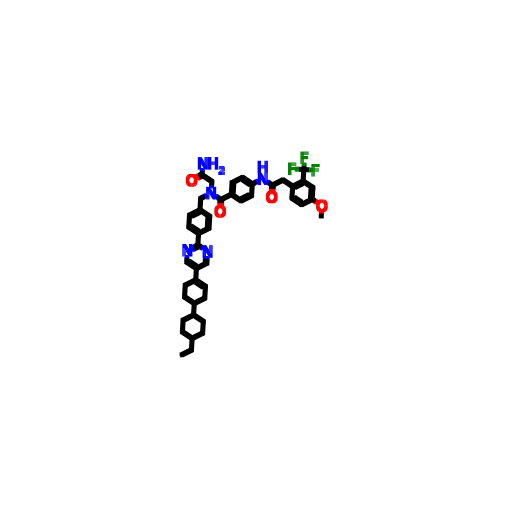 CCC1CCC(C2CC=C(c3cnc(-c4ccc(CN(CC(N)=O)C(=O)c5ccc(NC(=O)Cc6ccc(OC)cc6C(F)(F)F)cc5)cc4)nc3)CC2)CC1